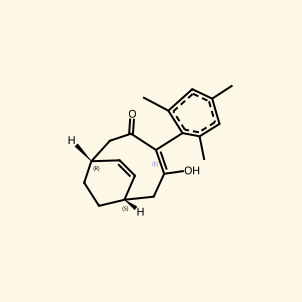 Cc1cc(C)c(/C2=C(\O)C[C@H]3C=C[C@H](CC3)CC2=O)c(C)c1